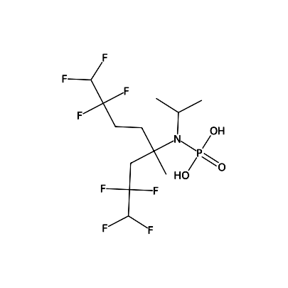 CC(C)N(C(C)(CCC(F)(F)C(F)F)CC(F)(F)C(F)F)P(=O)(O)O